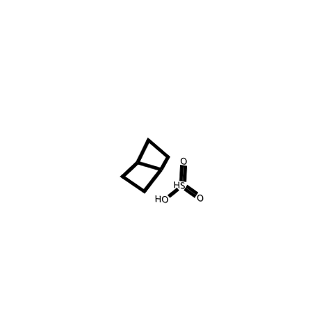 C1CC2CCC12.O=[SH](=O)O